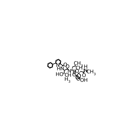 CNC(=O)C[C@]1(CC(=O)O)OB([C@H](CC(C)C)NC(=O)[C@@H](NC(=O)c2cccc(-c3ccccc3)n2)[C@@H](C)O)OC1=O